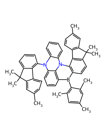 Cc1cc(C)c(B2c3cccc4c3N(c3ccccc3N4c3cccc4c3-c3ccc(C)cc3C4(C)C)c3c2ccc2c3-c3ccc(C)cc3C2(C)C)c(C)c1